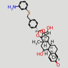 C[C@]12C=CC(=O)C=C1CC[C@@H]1[C@@H]2[C@@H](O)C[C@@]2(C)[C@H]1C[C@H]1O[C@@H](c3ccc(CSc4cccc(N)c4)cc3)O[C@]12C(=O)CO